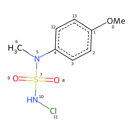 COc1ccc(N(C)S(=O)(=O)NCl)cc1